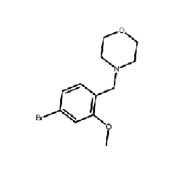 COc1cc(Br)ccc1CN1CCOCC1